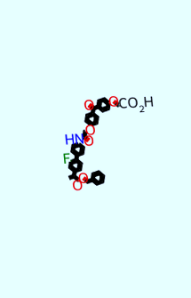 CC(C(=O)OCc1ccccc1)c1ccc(-c2ccc(NC(=O)COc3ccc(C(=O)c4ccc(OCC(=O)O)cc4)cc3)cc2)c(F)c1